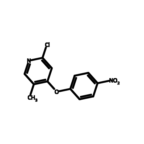 Cc1cnc(Cl)cc1Oc1ccc([N+](=O)[O-])cc1